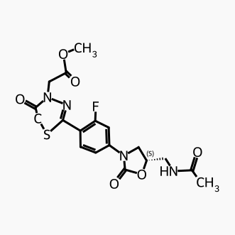 COC(=O)CN1N=C(c2ccc(N3C[C@H](CNC(C)=O)OC3=O)cc2F)SCC1=O